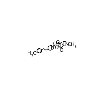 Cc1ccc(CCC2CCN(C(=O)ON3C(=O)C4CN(C)CCN4C3=O)CC2)cc1